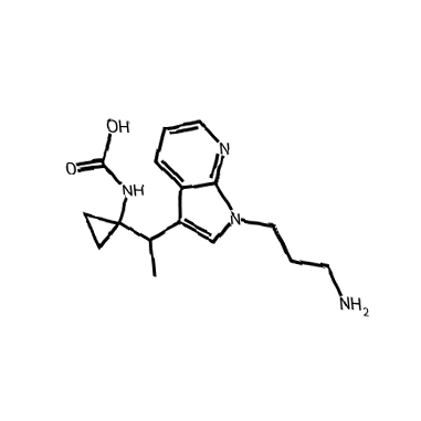 CC(c1cn(CCCN)c2ncccc12)C1(NC(=O)O)CC1